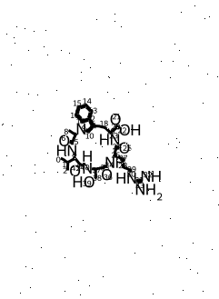 CC(C)C1NC(=O)C(C)n2cc(c3ccccc32)CC(C(=O)O)NC(=O)C(CCCNC(=N)N)NC(=O)C(CO)NC1=O